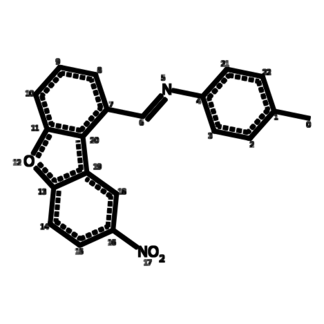 Cc1ccc(N=Cc2cccc3oc4ccc([N+](=O)[O-])cc4c23)cc1